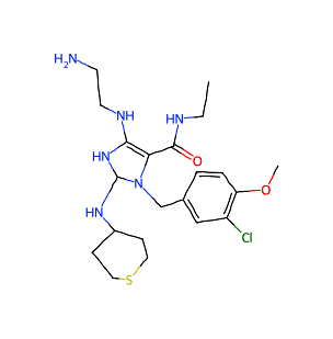 CCNC(=O)C1=C(NCCN)NC(NC2CCSCC2)N1Cc1ccc(OC)c(Cl)c1